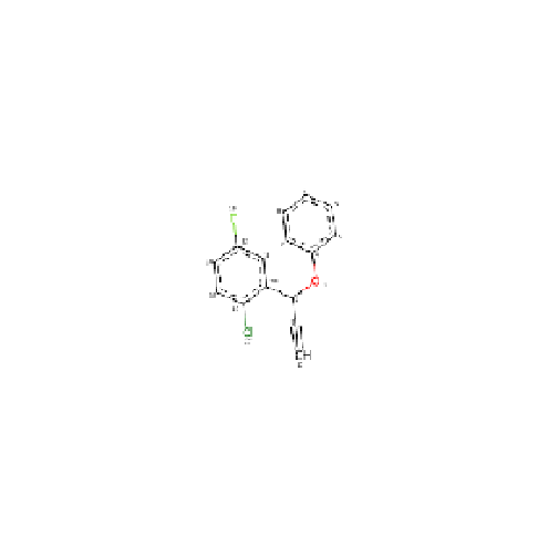 C#CC(Oc1cc[c]cc1)c1cc(F)ccc1Cl